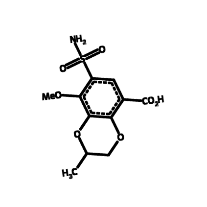 COc1c(S(N)(=O)=O)cc(C(=O)O)c2c1OC(C)CO2